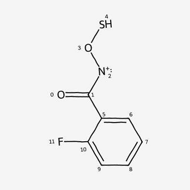 O=C([N+]OS)c1ccccc1F